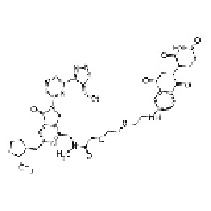 CC/C=C1\C=NN=C1c1cccc(N2Cc3c(cc(/C=C4\CCC[C@H]4C)nc3CN(C)C(=O)COCCOCCNc3ccc4c(c3)C(=O)CC(C3CCC(=O)NC3=O)C4=O)C2=O)n1